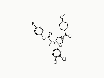 CO[C@H]1CC[C@@H](C(=O)N2C[C@H](c3ccc(Cl)c(Cl)c3)[C@@H](N(C)C(=O)Oc3ccc(F)cc3)C2)CC1